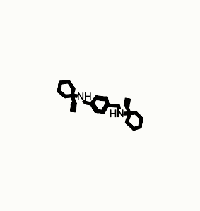 C#CC1(NCc2ccc(CNC3(C#C)CCCCC3)cc2)CCCCC1